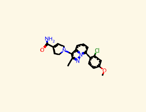 COc1ccc(-c2cccc3c(N4CC=C(C(N)=O)CC4)c(C)nn23)c(Cl)c1